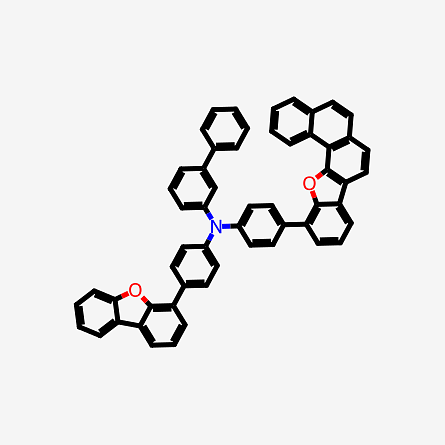 c1ccc(-c2cccc(N(c3ccc(-c4cccc5c4oc4ccccc45)cc3)c3ccc(-c4cccc5c4oc4c5ccc5ccc6ccccc6c54)cc3)c2)cc1